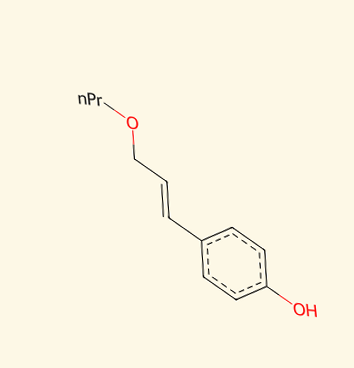 CCCOCC=Cc1ccc(O)cc1